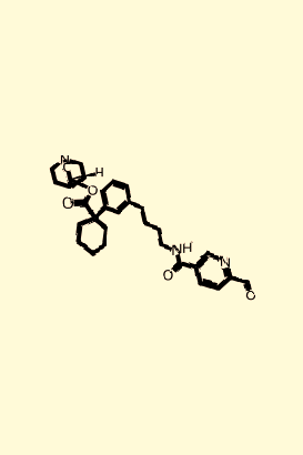 O=Cc1ccc(C(=O)NCCCCc2cccc(C3(C(=O)O[C@H]4CN5CCC4CC5)CCCCC3)c2)cn1